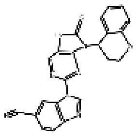 N#Cc1ccc2ncn(-c3ncc4[nH]c(=O)n(C5CCOc6ccccc65)c4n3)c2c1